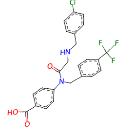 O=C(O)c1ccc(N(Cc2ccc(C(F)(F)F)cc2)C(=O)CNCc2ccc(Cl)cc2)cc1